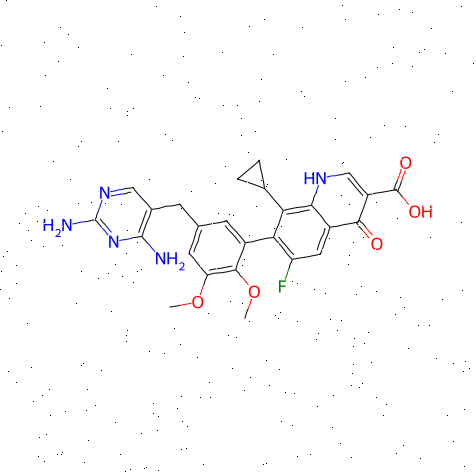 COc1cc(Cc2cnc(N)nc2N)cc(-c2c(F)cc3c(=O)c(C(=O)O)c[nH]c3c2C2CC2)c1OC